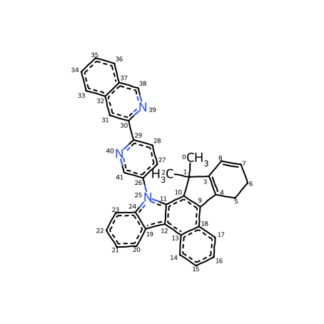 CC1(C)C2=C(CCC=C2)c2c1c1c(c3ccccc23)c2ccccc2n1-c1ccc(-c2cc3ccccc3cn2)nc1